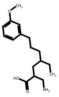 CCC(CCCc1cccc(OC)c1)CC(CN)C(=O)O